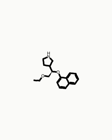 CCOC[C@H](Oc1cccc2ccccc12)C1CCNC1